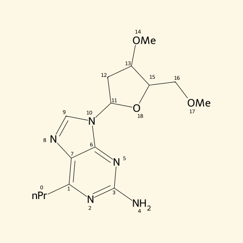 CCCc1nc(N)nc2c1ncn2C1CC(OC)C(COC)O1